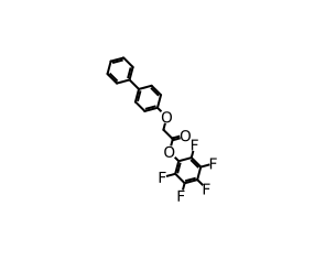 O=C(COc1ccc(-c2ccccc2)cc1)Oc1c(F)c(F)c(F)c(F)c1F